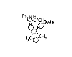 COC1CCN(c2nc(-c3c(C)cccc3C)nc3c2CN(c2cc(C(C)C)nn2C)CC3)CC1C